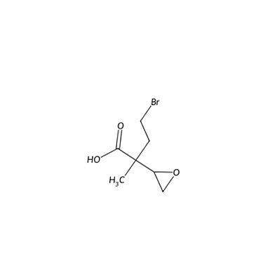 CC(CCBr)(C(=O)O)C1CO1